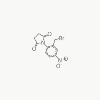 O=C1CCC(=O)N1c1ccc([N+](=O)[O-])cc1CBr